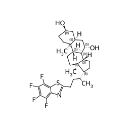 CC(CCc1nc2c(F)c(F)c(F)c(F)c2s1)[C@H]1CC[C@H]2[C@@H]3[C@@H](O)C[C@@H]4C[C@H](O)CC[C@]4(C)[C@H]3CC[C@]12C